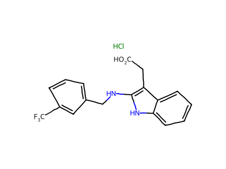 Cl.O=C(O)Cc1c(NCc2cccc(C(F)(F)F)c2)[nH]c2ccccc12